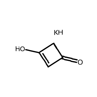 O=C1C=C(O)C1.[KH]